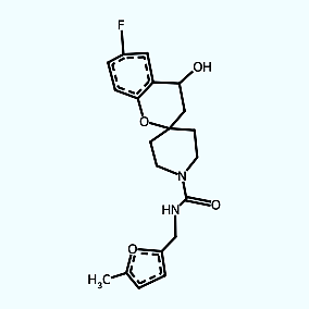 Cc1ccc(CNC(=O)N2CCC3(CC2)CC(O)c2cc(F)ccc2O3)o1